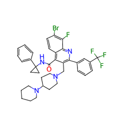 O=C(NC1(c2ccccc2)CC1)c1c(CN2CCC(N3CCCCC3)CC2)c(-c2cccc(C(F)(F)F)c2)nc2c(F)c(Br)ccc12